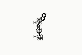 O=C(NO)c1cnc(N2CC(NS(=O)(=O)c3ccc4ccccc4c3)C2)nc1